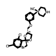 N#C[N+]1(c2cccc(OC[C@@H]3CO[C@](CBr)(c4ccc(Cl)cc4Cl)O3)c2)CCNCC1